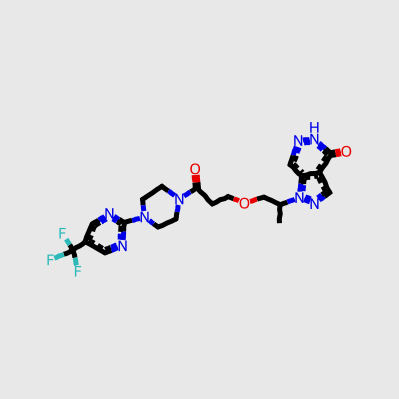 CC(COCCC(=O)N1CCN(c2ncc(C(F)(F)F)cn2)CC1)n1ncc2c(=O)[nH]ncc21